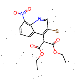 CCOC(=O)C(C(=O)OCC)c1c(Br)cnc2c([N+](=O)[O-])cccc12